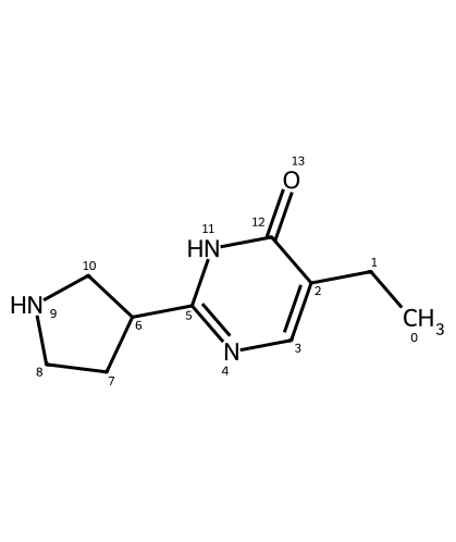 CCc1cnc(C2CCNC2)[nH]c1=O